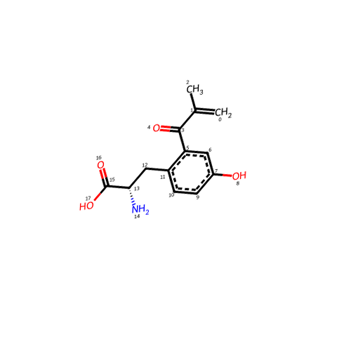 C=C(C)C(=O)c1cc(O)ccc1C[C@H](N)C(=O)O